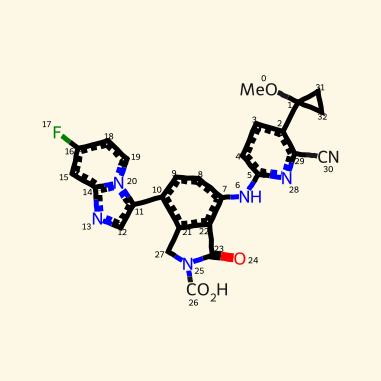 COC1(c2ccc(Nc3ccc(-c4cnc5cc(F)ccn45)c4c3C(=O)N(C(=O)O)C4)nc2C#N)CC1